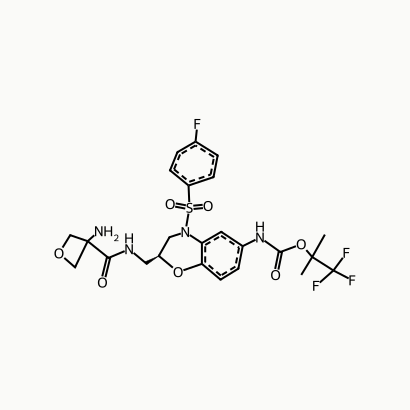 CC(C)(OC(=O)Nc1ccc2c(c1)N(S(=O)(=O)c1ccc(F)cc1)C[C@H](CNC(=O)C1(N)COC1)O2)C(F)(F)F